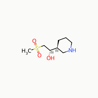 CS(=O)(=O)C[C@@H](O)[C@H]1CCCNC1